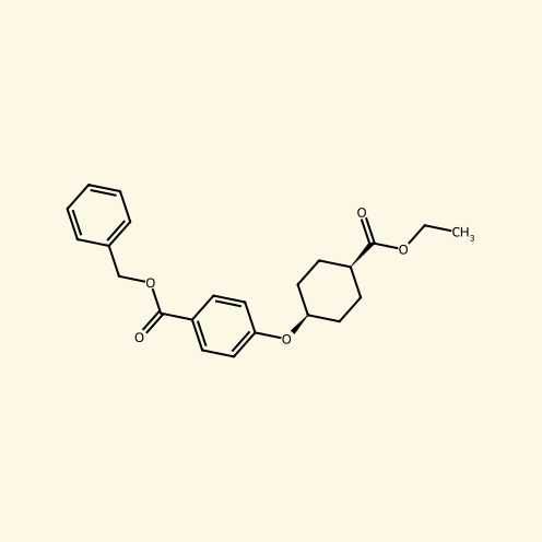 CCOC(=O)[C@H]1CC[C@@H](Oc2ccc(C(=O)OCc3ccccc3)cc2)CC1